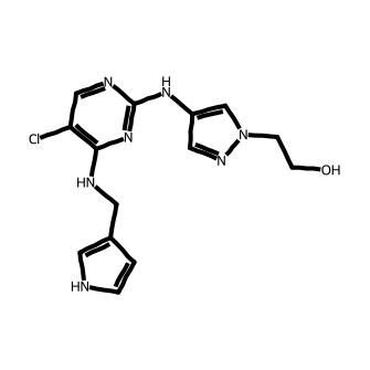 OCCn1cc(Nc2ncc(Cl)c(NCc3cc[nH]c3)n2)cn1